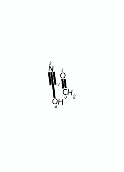 C=O.N#CO